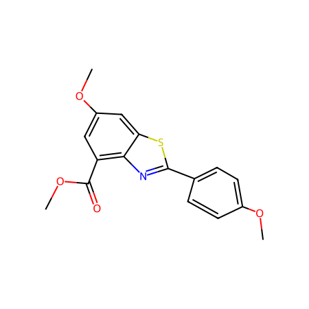 COC(=O)c1cc(OC)cc2sc(-c3ccc(OC)cc3)nc12